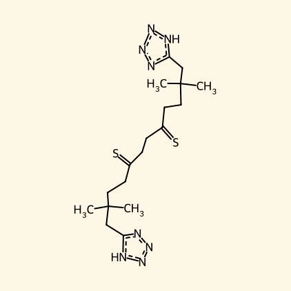 CC(C)(CCC(=S)CCC(=S)CCC(C)(C)Cc1nnn[nH]1)Cc1nnn[nH]1